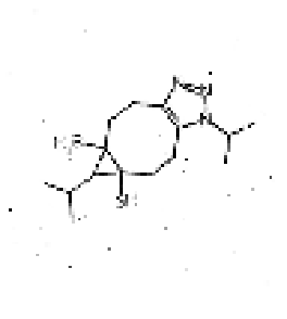 BC12CCc3nnn(C(C)C)c3CCC1(S)C2C(C)C